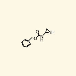 O=C(NC1CN1)OCc1ccccc1